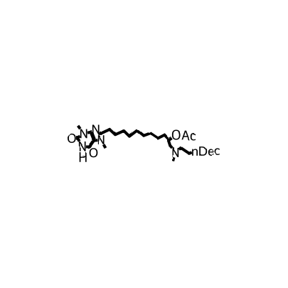 CCCCCCCCCCCCN(C)CC(CCCCCCCCCc1nc2c(c(=O)[nH]c(=O)n2C)n1C)OC(C)=O